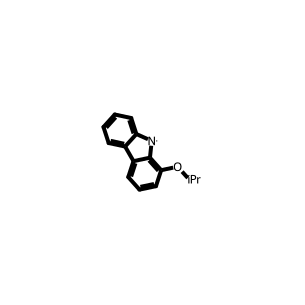 CC(C)Oc1cccc2c1[N]c1ccccc1-2